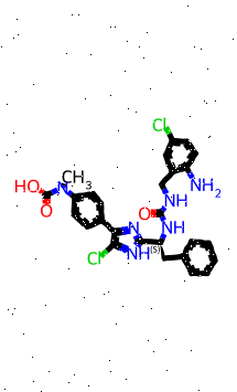 CN(C(=O)O)c1ccc(-c2nc([C@H](Cc3ccccc3)NC(=O)NCc3cc(Cl)ccc3N)[nH]c2Cl)cc1